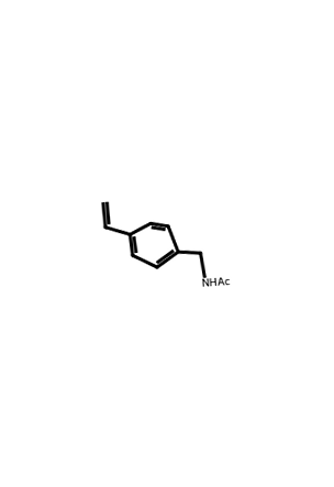 C=Cc1ccc(CNC(C)=O)cc1